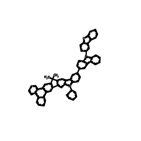 CC1(C)c2cc3c4ccccc4c4ccccc4c3cc2-c2cc3c(cc21)c1cc(-c2ccc4c(c2)c2ccccc2n4-c2ccc4oc5ccccc5c4c2)ccc1n3-c1ccccc1